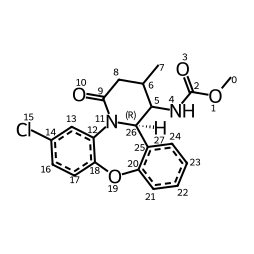 COC(=O)NC1C(C)CC(=O)N2c3cc(Cl)ccc3Oc3ccccc3[C@H]12